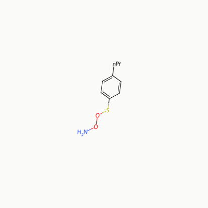 CCCc1ccc(SOON)cc1